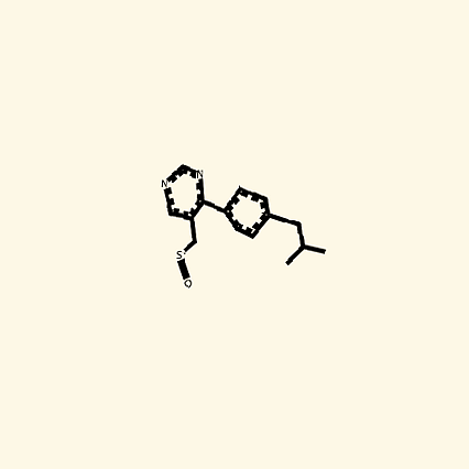 CC(C)Cc1ccc(-c2ncncc2C[S+]=O)cc1